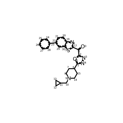 O=C(c1nnc(C2CCN(CC3CC3)CC2)o1)c1nc2ccc(-c3ccccc3)cc2s1